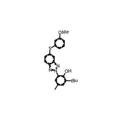 COc1cccc(Sc2ccc3nn(-c4cc(C)cc(C(C)(C)C)c4O)nc3c2)c1